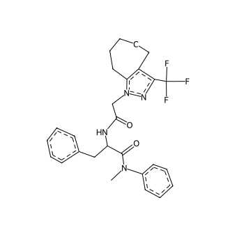 CN(C(=O)C(Cc1ccccc1)NC(=O)Cn1nc(C(F)(F)F)c2c1CCCCC2)c1ccccc1